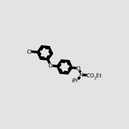 CCOC(=O)N(Oc1ccc(Oc2cccc(Cl)c2)cc1)C(C)C